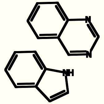 c1ccc2[nH]ccc2c1.c1ccc2ncncc2c1